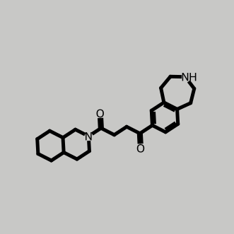 O=C(CCC(=O)N1CCC2CCCCC2C1)c1ccc2c(c1)CCNCC2